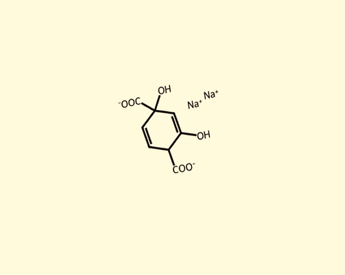 O=C([O-])C1C=CC(O)(C(=O)[O-])C=C1O.[Na+].[Na+]